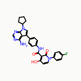 Nc1ncnc2c1c(-c1ccc(NC(=O)c3c(O)ccn(-c4ccc(F)cc4)c3=O)cc1)cn2C1CCCC1